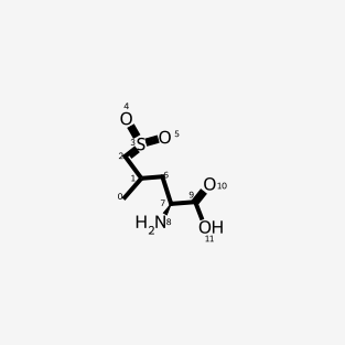 CC(C=S(=O)=O)C[C@H](N)C(=O)O